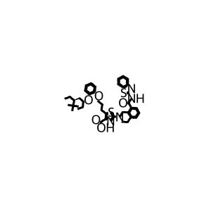 CCC(C[C@H](CC)C(C)(C)C)Oc1ccccc1OCCCc1sc(N2CCc3cccc(C(=O)Nc4nc5ccccc5s4)c3C2)nc1C(=O)O